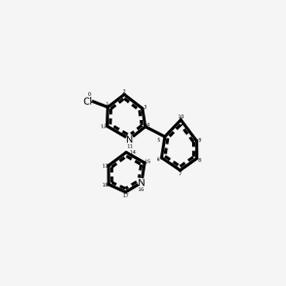 Clc1ccc(-c2ccccc2)nc1.c1ccncc1